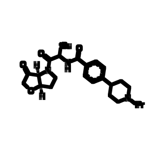 CC(C)N1CCC(c2ccc(C(=O)NC(C(=O)N3CC[C@H]4OCC(=O)[C@H]43)C(C)(C)C)cc2)CC1